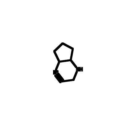 C1#[N+]C2CCCC2NC1